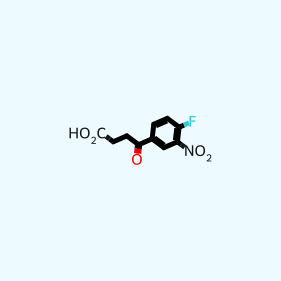 O=C(O)CCC(=O)c1ccc(F)c([N+](=O)[O-])c1